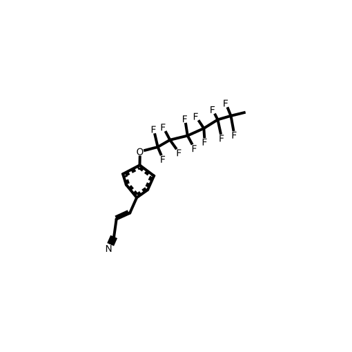 CC(F)(F)C(F)(F)C(F)(F)C(F)(F)C(F)(F)C(F)(F)Oc1ccc(C=CC#N)cc1